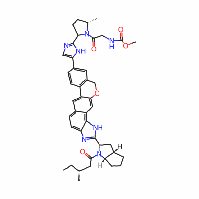 CC[C@H](C)CC(=O)N1C(c2nc3ccc4cc5c(cc4c3[nH]2)OCc2cc(-c3cnc(C4CC[C@H](C)N4C(=O)CNC(=O)OC)[nH]3)ccc2-5)C[C@@H]2CCC[C@@H]21